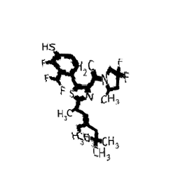 C=C(c1nc(C(C)/C=C(\CC)CC(C)(C)C)sc1-c1ccc(S)c(F)c1C(F)F)N1CC(F)(F)CC1C